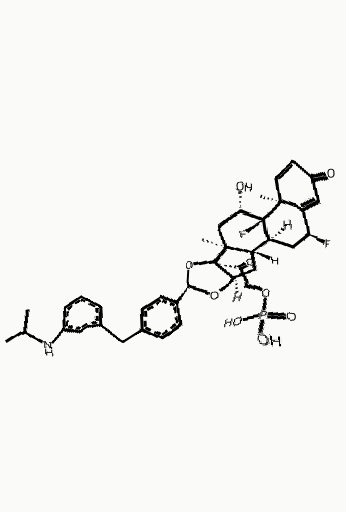 CC(C)Nc1cccc(Cc2ccc([C@@H]3O[C@@H]4C[C@H]5[C@@H]6C[C@H](F)C7=CC(=O)C=C[C@]7(C)[C@@]6(F)[C@@H](O)C[C@]5(C)[C@]4(C(=O)COP(=O)(O)O)O3)cc2)c1